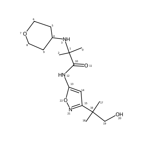 CC(C)(NC1CCOCC1)C(=O)Nc1cc(C(C)(C)CO)no1